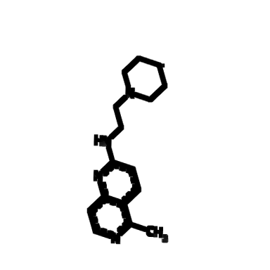 Cc1nccc2nc(NCCN3CC[CH]CC3)ccc12